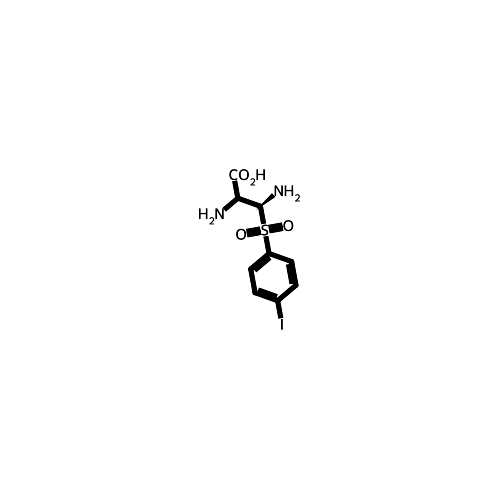 NC(C(=O)O)[C@@H](N)S(=O)(=O)c1ccc(I)cc1